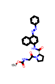 CC(C)(C)OC(=O)NCC(=O)N1CCC[C@H]1C(=O)Nc1ccc(/N=N/c2ccccc2)c2ccccc12